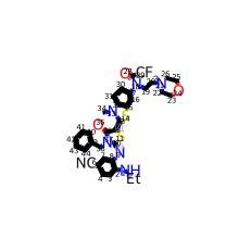 CCNc1ccc(C#N)cc1/N=C1/S/C(=C2\Sc3cc(N(CCN4CCOCC4)C(=O)C(F)(F)F)ccc3N2C)C(=O)N1Cc1ccccc1